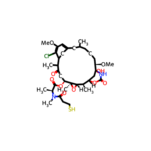 COC1=C(Cl)C2CC(=C1)CC(C)CCC[C@@H](OC)[C@@]1(O)C[C@H](OC(=O)N1)[C@@H](C)[C@@H]1O[C@@]1(C)[C@@H](OC(=O)[C@H](C)N(C)C(=O)CCS)CC(=O)C2C